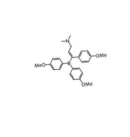 COc1ccc(B(C(=CCN(C)C)c2ccc(OC)cc2)c2ccc(OC)cc2)cc1